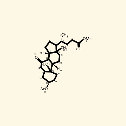 COC(=O)CC[C@@H](C)C1CC[C@H]2C3C(=O)CC4C[C@H](OC(C)=O)CCC4(C)[C@H]3CCC12C